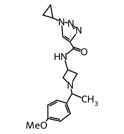 COc1ccc(C(C)N2CC(NC(=O)c3cn(C4CC4)nn3)C2)cc1